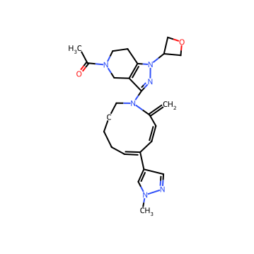 C=C1/C=C\C(c2cnn(C)c2)=C/CCCCN1c1nn(C2COC2)c2c1CN(C(C)=O)CC2